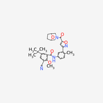 COc1c(C#N)cc(C(C)(C)C)cc1C(=O)Nc1ccc(C)c(-c2cc(C(=O)N3CC4CCC(C3)O4)on2)c1